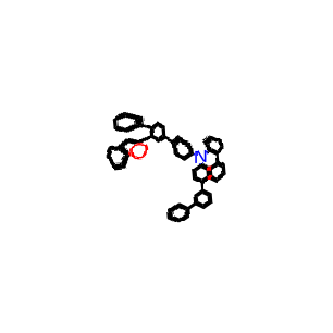 c1ccc(-c2cccc(-c3ccc(N(c4ccc(-c5ccc(-c6ccccc6)c(-c6cc7ccccc7o6)c5)cc4)c4ccccc4-c4ccccc4)cc3)c2)cc1